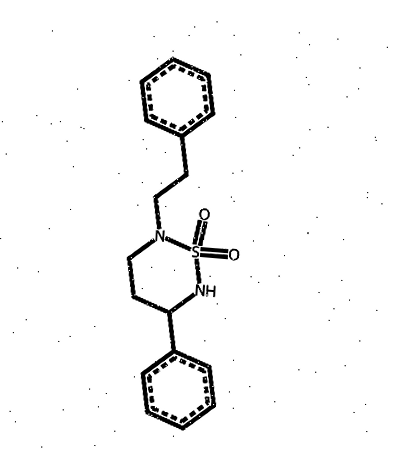 O=S1(=O)NC(c2ccccc2)CCN1CCc1ccccc1